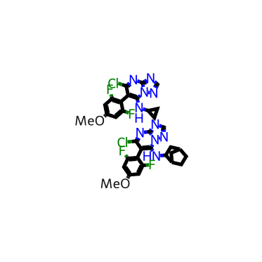 COc1cc(F)c(-c2c(Cl)nc3ncnn3c2NC2CC2)c(F)c1.COc1cc(F)c(-c2c(Cl)nc3ncnn3c2NC2CC3CCC2C3)c(F)c1